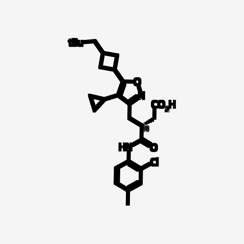 Cc1ccc(NC(=O)[C@@H](CC(=O)O)Cc2noc(C3CC(CC(C)(C)C)C3)c2C2CC2)c(Cl)c1